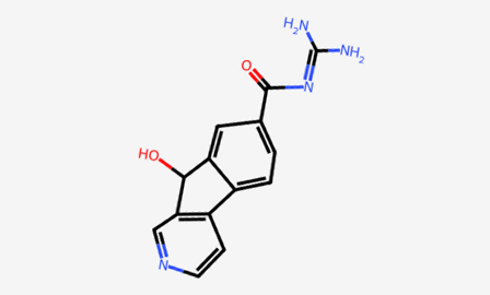 NC(N)=NC(=O)c1ccc2c(c1)C(O)c1cnccc1-2